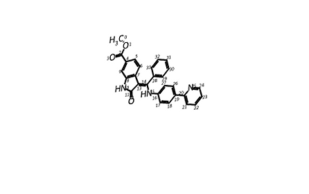 COC(=O)c1ccc2c(c1)NC(=O)/C2=C(\Nc1ccc(-c2ccccn2)cc1)c1ccccc1